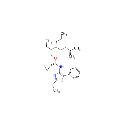 C=C(C)CCC(CCC)C(CC)COC(Nc1nc(CC)sc1-c1ccccc1)=C1CC1